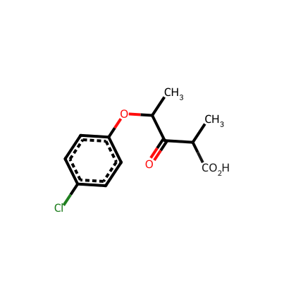 CC(Oc1ccc(Cl)cc1)C(=O)C(C)C(=O)O